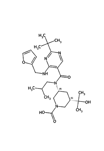 CC(C)CN(C(=O)c1cnc(C(C)(C)C)nc1NCc1ccco1)[C@@H]1C[C@H](C(C)(C)O)CN(C(=O)O)C1